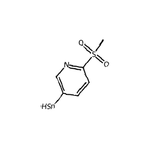 CS(=O)(=O)c1cc[c]([SnH])cn1